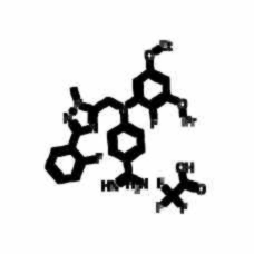 CCOc1cc(OC(C)C)c(F)c(N(Cc2nc(-c3ccccc3F)nn2C)c2ccc(C(=N)N)cc2)c1.O=C(O)C(F)(F)F